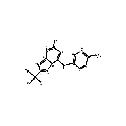 Cc1cc(Nc2ccc(C(F)(F)F)nc2)n2nc(C(C)(F)F)nc2n1